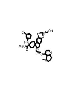 COC(=O)C1(Nc2cccc(Cl)c2)CCC2(CC1)c1cc3c(cc1C[C@@H]2C[C@@H](C)COc1ccnc2c1[C@H](C)CCC2)O[C@@H](CCO)CO3